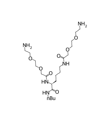 CCCCNC(=O)[C@H](CCCCNC(=O)COCCOCCN)NC(=O)COCCOCCN